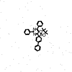 CC1(C)OB(C2(c3cc(-c4ccccc4)nc(-c4ccccc4)n3)C=CC(c3ccccc3)=CC2)OC1(C)C